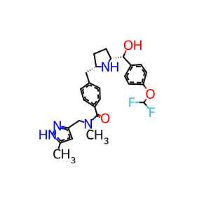 Cc1cc(CN(C)C(=O)c2ccc(C[C@@H]3CC[C@H](C(O)c4ccc(OC(F)F)cc4)N3)cc2)n[nH]1